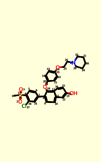 CS(=O)(=O)c1ccc(-c2ccc3cc(O)ccc3c2Oc2ccc(OCCN3CCCCC3)cc2)cc1Cl